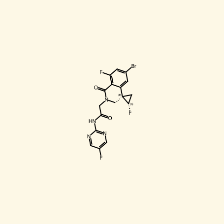 O=C(CN1C[C@@]2(C[C@@H]2F)c2cc(Br)cc(F)c2C1=O)Nc1ncc(F)cn1